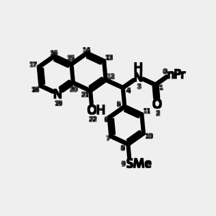 CCCC(=O)NC(c1ccc(SC)cc1)c1ccc2cccnc2c1O